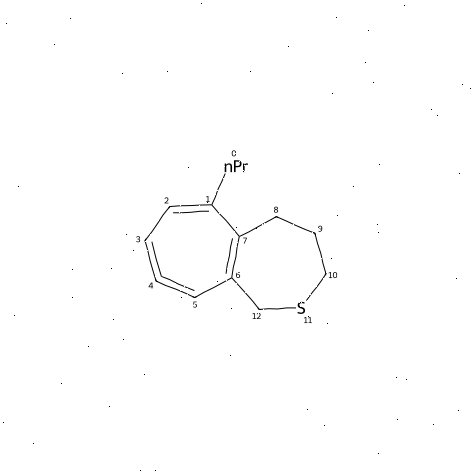 CCCC1=CC=C=CC2=C1CCCSC2